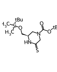 CC(C)(C)OC(=O)N1CC(=S)N[C@@H](CO[Si](C)(C)C(C)(C)C)C1